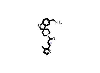 Cc1ccsc1/C=C/C(=O)N1CCC2(CC1)COc1ccc(CN)cc12